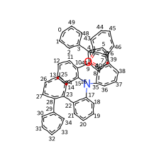 c1ccc(-c2ccccc2-c2ccccc2N(c2ccccc2-c2ccccc2-c2ccccc2)c2cccc3c2oc2ccccc23)cc1